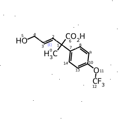 CC(/C=C/CO)(C(=O)O)c1ccc(OC(F)(F)F)cc1